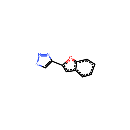 C1=C(c2cc3ccccc3o2)N=N[N]1